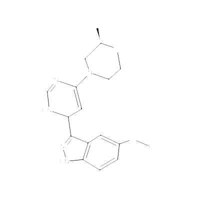 CCOc1ccc2[nH]nc(C3C=C(N4CCO[C@H](C)C4)N=CN3)c2c1